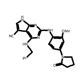 COc1cc(N2CCCC2=O)ccc1Nc1nc(NCC(C)C)c2c(C#N)c[nH]c2n1